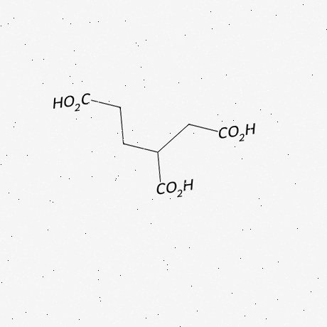 O=C(O)CCC(CC(=O)O)C(=O)O